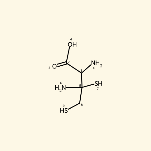 NC(C(=O)O)C(N)(S)CS